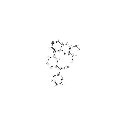 COc1cc2cnnc(N3CCCC(C(=O)c4ccccc4)C3)c2cc1OC